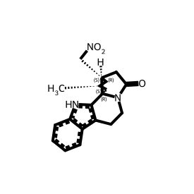 C[C@H]1C[C@@]23c4[nH]c5ccccc5c4CCN2C(=O)C[C@H]3[C@@H]1C[N+](=O)[O-]